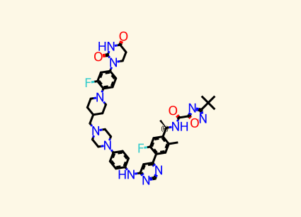 Cc1cc(-c2cc(Nc3ccc(N4CCN(CC5CCN(c6ccc(N7CCC(=O)NC7=O)cc6F)CC5)CC4)cc3)ncn2)c(F)cc1[C@@H](C)NC(=O)c1nc(C(C)(C)C)no1